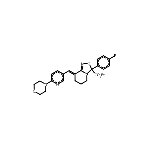 CCOC(=O)C1(c2ccc(F)cc2)ON=C2/C(=C/c3ccc(N4CCOCC4)nc3)CCCN21